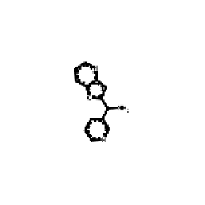 NC(c1cccnc1)c1cc2ncccc2o1